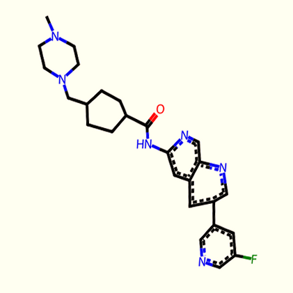 CN1CCN(CC2CCC(C(=O)Nc3cc4cc(-c5cncc(F)c5)cnc4cn3)CC2)CC1